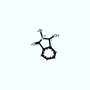 O=C1c2ccccc2C(O)N1Br